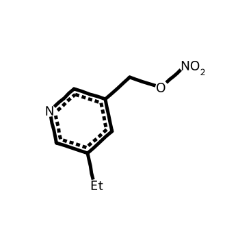 CCc1cncc(CO[N+](=O)[O-])c1